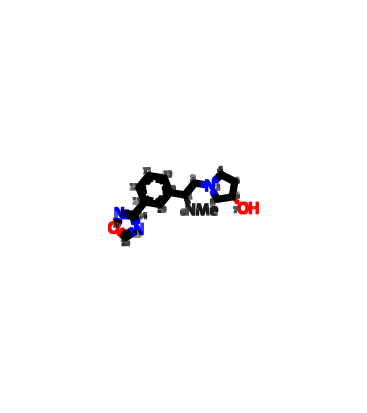 CN[C@H](CN1CC[C@H](O)C1)c1cccc(-c2ncon2)c1